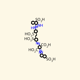 O=C(O)c1cc(-n2n3c4ccc5cc(S(=O)(=O)O)ccc5c4n23)c(C(=O)O)cc1N=Nc1ccc(C=Cc2ccc(NN3CNc4cc(S(=O)(=O)O)c5ccccc5c43)cc2S(=O)(=O)O)c(S(=O)(=O)O)c1